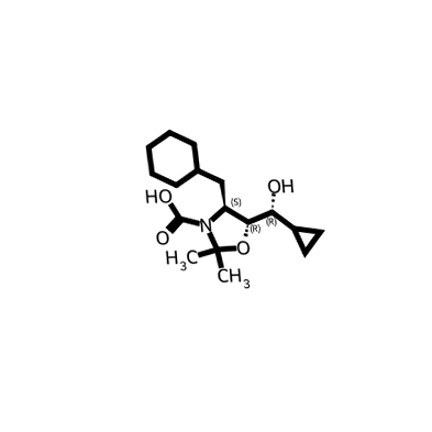 CC1(C)O[C@@H]([C@H](O)C2CC2)[C@H](CC2CCCCC2)N1C(=O)O